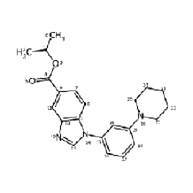 CC(C)OC(=O)c1ccc2c(c1)ncn2-c1cccc(N2CCCCC2)c1